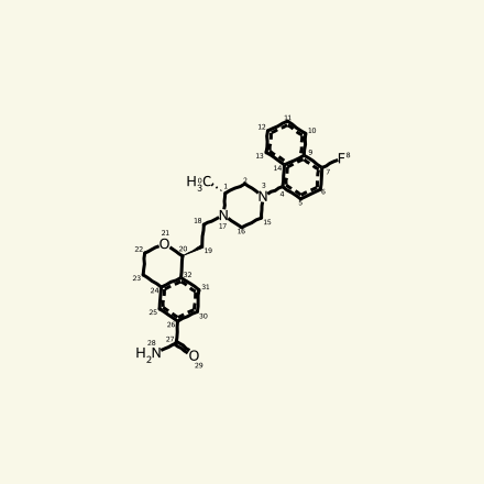 C[C@@H]1CN(c2ccc(F)c3ccccc23)CCN1CC[C@@H]1OCCc2cc(C(N)=O)ccc21